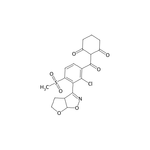 CS(=O)(=O)c1ccc(C(=O)C2C(=O)CCCC2=O)c(Cl)c1C1=NOC2OCCC12